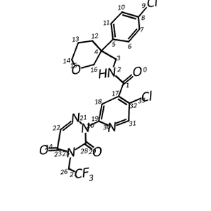 O=C(NCC1(c2ccc(Cl)cc2)CCCOC1)c1cc(-n2ncc(=O)n(CC(F)(F)F)c2=O)ncc1Cl